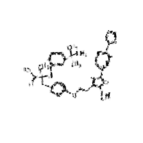 Cc1oc(-c2ccc(-c3cccs3)cc2)nc1CCOc1ccc(CC(C)(Oc2cccc(C(C)(C)C)c2)C(=O)O)cc1